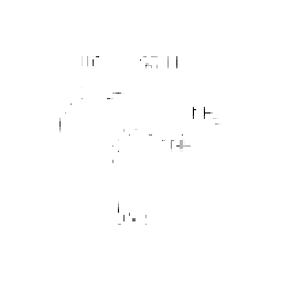 COc1ccccc1NN.O=S(=O)(O)O